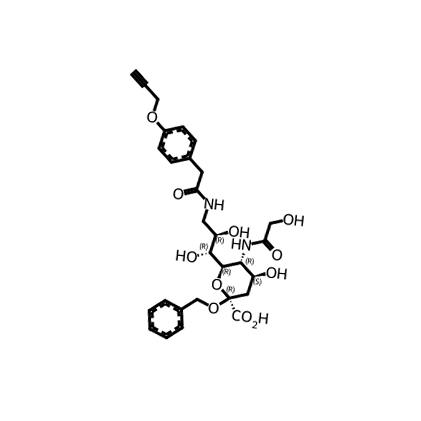 C#CCOc1ccc(CC(=O)NC[C@@H](O)[C@@H](O)[C@@H]2O[C@@](OCc3ccccc3)(C(=O)O)C[C@H](O)[C@H]2NC(=O)CO)cc1